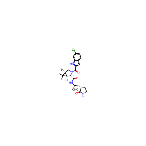 CC1(C)[C@@H]2[C@@H](C(=O)N[C@H](C=O)C[C@@H]3CCNC3=O)N(C(=O)c3cc4ccc(Cl)cc4[nH]3)C[C@@H]21